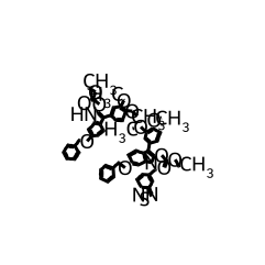 CCOC(=O)Oc1[nH]c2cc(OCc3ccccc3)ccc2c1-c1ccc(OC)c(OC)c1.CCOC(=O)Oc1c(-c2ccc(OC)c(OC)c2)c2ccc(OCc3ccccc3)cc2n1Cc1ccc2nsnc2c1